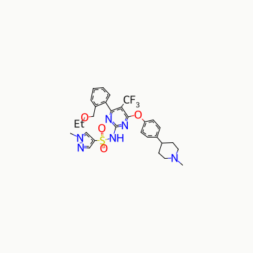 CCOCc1ccccc1-c1nc(NS(=O)(=O)c2cnn(C)c2)nc(Oc2ccc(C3CCN(C)CC3)cc2)c1C(F)(F)F